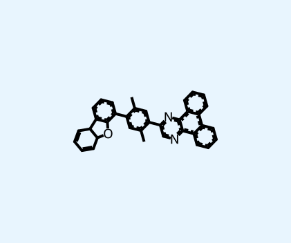 Cc1cc(-c2cccc3c2OC2C=CC=CC32)c(C)cc1-c1cnc2c3ccccc3c3ccccc3c2n1